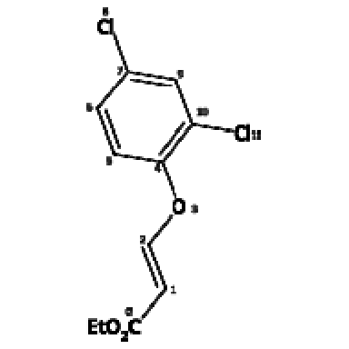 CCOC(=O)/C=C/Oc1ccc(Cl)cc1Cl